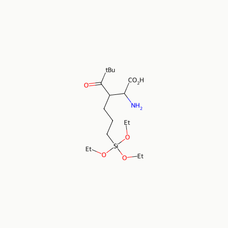 CCO[Si](CCCC(C(=O)C(C)(C)C)C(N)C(=O)O)(OCC)OCC